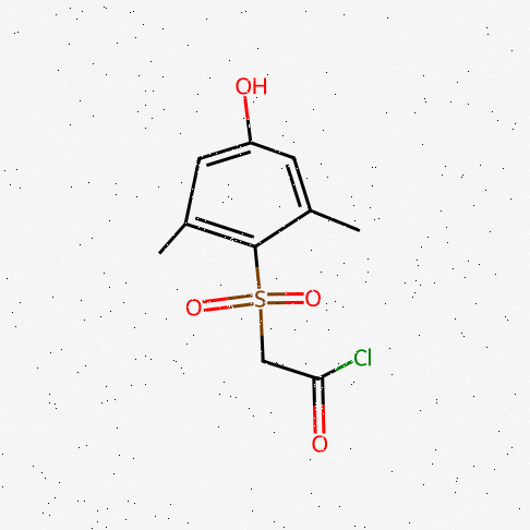 Cc1cc(O)cc(C)c1S(=O)(=O)CC(=O)Cl